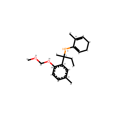 CCC(C)(PC1=CCCC=C1C)c1cc(C)ccc1OCOC